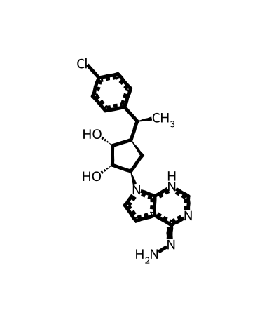 C[C@H](c1ccc(Cl)cc1)[C@H]1C[C@@H](n2ccc3/c(=N\N)nc[nH]c32)[C@H](O)[C@@H]1O